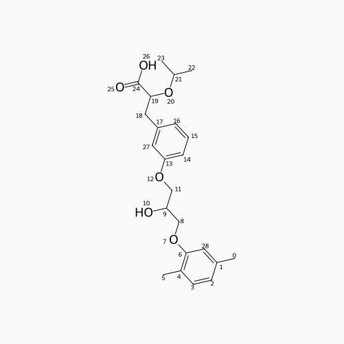 Cc1ccc(C)c(OCC(O)COc2cccc(CC(OC(C)C)C(=O)O)c2)c1